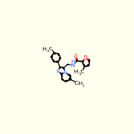 Cc1ccc(-c2nc3ccc(C)cn3c2CNC(=O)c2occc2C)cc1